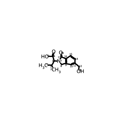 CC(C)C(C(=O)O)N1Cc2cc(CO)ccc2C1=O